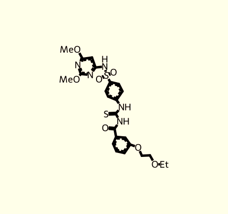 CCOCCOc1cccc(C(=O)NC(=S)Nc2ccc(S(=O)(=O)Nc3cc(OC)nc(OC)n3)cc2)c1